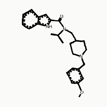 COc1cccc(CN2CCC(CN(C(=O)c3cc4ccccc4[nH]3)C(C)C)CC2)c1